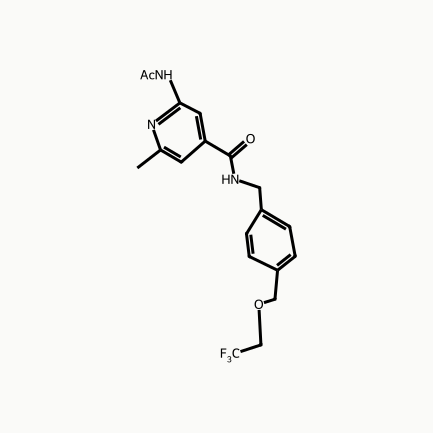 CC(=O)Nc1cc(C(=O)NCc2ccc(COCC(F)(F)F)cc2)cc(C)n1